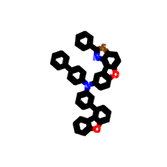 c1ccc(-c2ccc(N(c3cccc(-c4cccc5oc6ccccc6c45)c3)c3ccc4oc5ccc6sc(-c7ccccc7)nc6c5c4c3)cc2)cc1